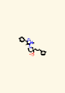 C=N/C(=C(C)\C(=N/C)c1ccccc1)N1CCCC(CO)(CCCc2ccccc2)C1